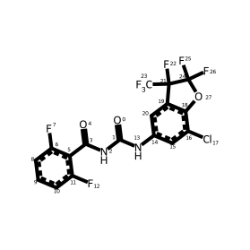 O=C(NC(=O)c1c(F)cccc1F)Nc1cc(Cl)c2c(c1)C(F)(C(F)(F)F)C(F)(F)O2